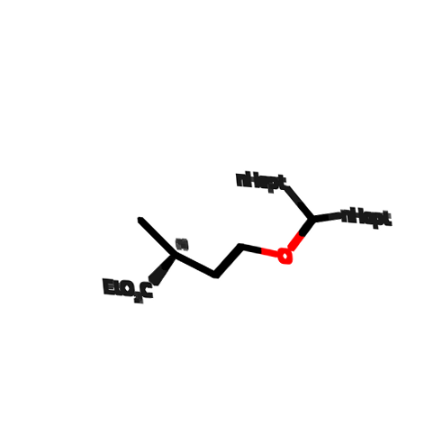 CCCCCCCC(CCCCCCC)OCC[C@H](C)C(=O)OCC